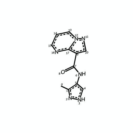 Cc1n[nH]cc1NC(=O)c1cnn2cccnc12